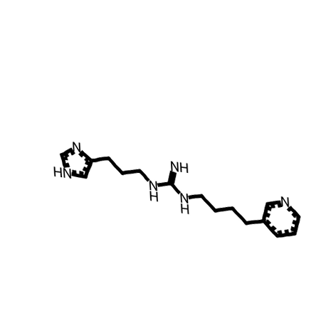 N=C(NCCCCc1cccnc1)NCCCc1c[nH]cn1